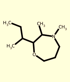 CCC(C)C1OCCCN(C)C1C